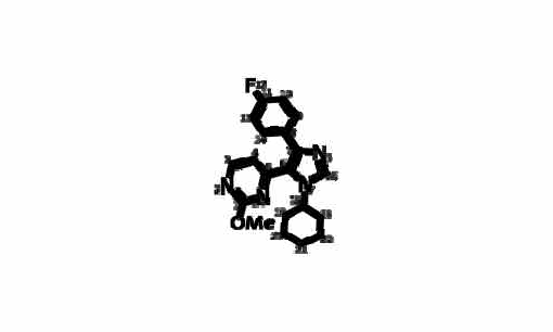 COc1nccc(-c2c(-c3ccc(F)cc3)ncn2C2CCCCC2)n1